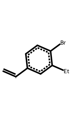 C=[C]c1ccc(Br)c(CC)c1